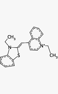 CCN1/C(=C/c2cc[n+](CC)c3ccccc23)Sc2ccccc21